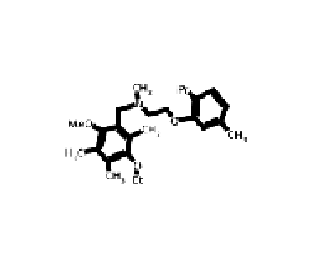 CCOc1c(C)c(C)c(OC)c(CN(C)CCOc2cc(C)ccc2C(C)C)c1C